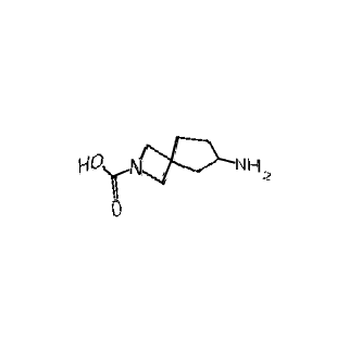 NC1CCC2(C1)CN(C(=O)O)C2